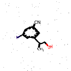 C[C](CO)c1cc(I)cc(C#N)c1